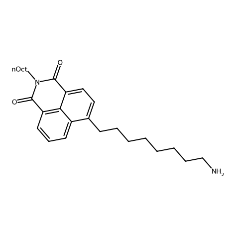 CCCCCCCCN1C(=O)c2cccc3c(CCCCCCCCN)ccc(c23)C1=O